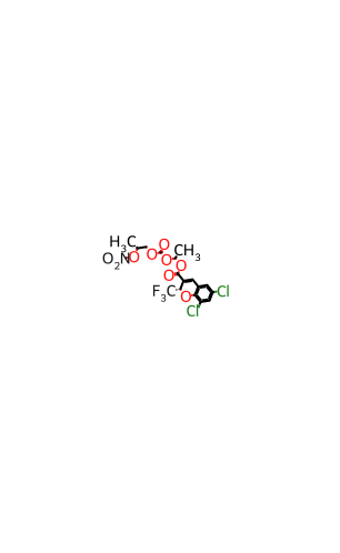 CC(COC(=O)OC(C)OC(=O)C1=Cc2cc(Cl)cc(Cl)c2O[C@@H]1C(F)(F)F)O[N+](=O)[O-]